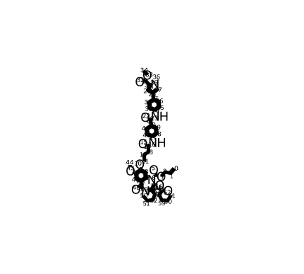 C=CCOC(=O)N1c2cc(OCCCC(=O)Nc3ccc(C(=O)Nc4ccc(-c5cc(C(=O)OC)n(C)c5)cc4)cc3)c(OC)cc2C(=O)N2CCCC[C@H]2C1OC1CCCCO1